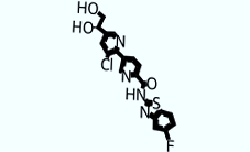 O=C(Nc1nc2cc(F)ccc2s1)c1ccc(-c2ncc([C@H](O)CO)cc2Cl)cn1